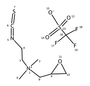 C[N+](C)(CCN=C=S)CC1CO1.O=S(=O)([O-])C(F)(F)F